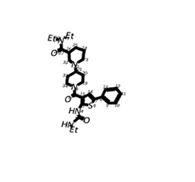 CCNC(=O)Nc1sc(-c2ccccc2)cc1C(=O)N1CCC(N2CCCC(C(=O)N(CC)CC)C2)CC1